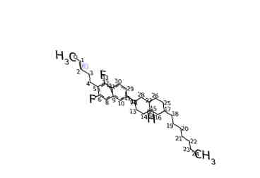 C/C=C/CCc1c(F)cc2cc([C@@H]3CC[C@@H]4CC(CCCCCCC)CCC4C3)ccc2c1F